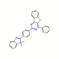 CC1(C)C(c2ccc(-c3nc(-c4ccccc4)c4oc5ccccc5c4n3)cc2)=Nc2ccccc21